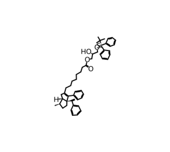 C=C(c1ccccc1)[C@@]12CC[C@@H](C)[C@@H]1CC(CCCCCCCC(=O)OC[C@@H](O)CO[Si](c1ccccc1)(c1ccccc1)C(C)(C)C)=C2c1ccccc1